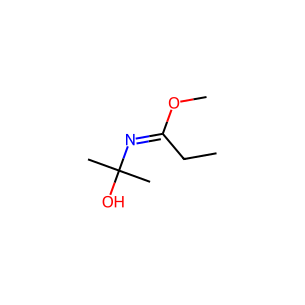 CC/C(=N\C(C)(C)O)OC